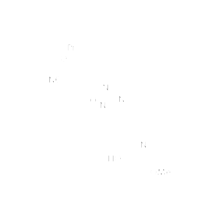 COCCN(CCO)Cc1ccc2c(c1)CCN2c1noc(-c2ccc(OC(C)C)c(C#N)c2)n1